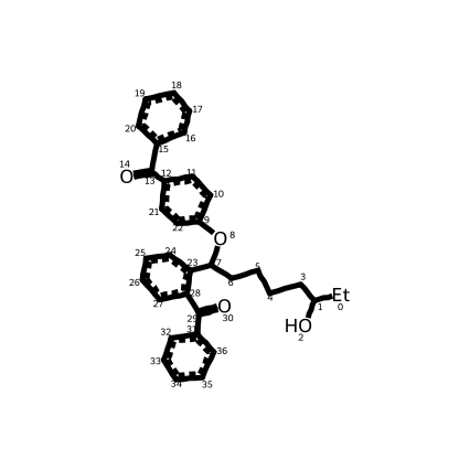 CCC(O)CCCCC(Oc1ccc(C(=O)c2ccccc2)cc1)c1ccccc1C(=O)c1ccccc1